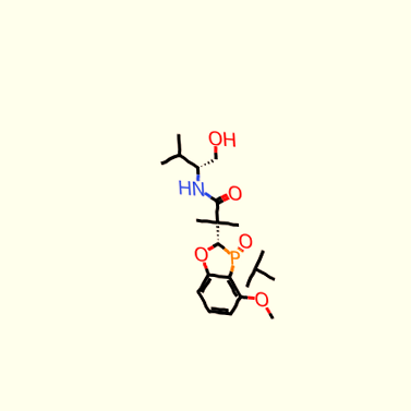 COc1cccc2c1[P@](=O)(C(C)(C)C)[C@@H](C(C)(C)C(=O)N[C@@H](CO)C(C)C)O2